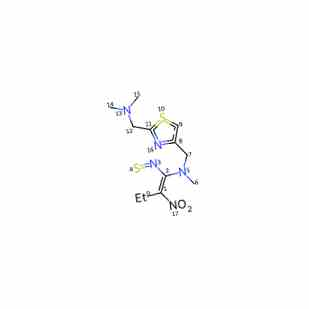 CCC(=C(N=S)N(C)Cc1csc(CN(C)C)n1)[N+](=O)[O-]